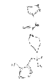 Cn1nccc1SC(C)(F)C1CCN(C(=O)Nc2cnns2)CC1